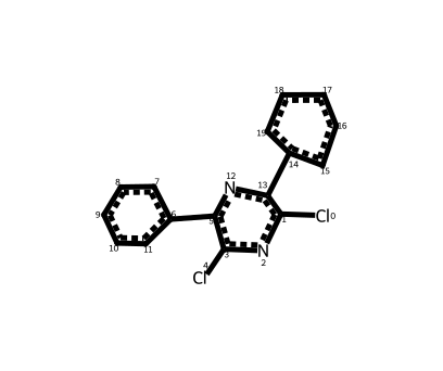 Clc1nc(Cl)c(-c2ccccc2)nc1-c1ccccc1